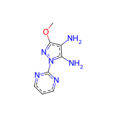 COc1nn(-c2ncccn2)c(N)c1N